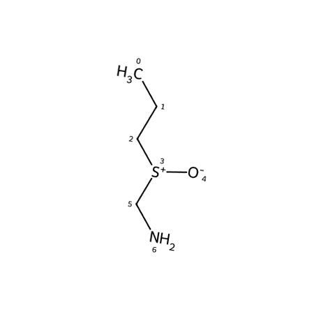 CCC[S+]([O-])CN